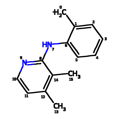 [CH2]c1ccccc1Nc1nccc(C)c1C